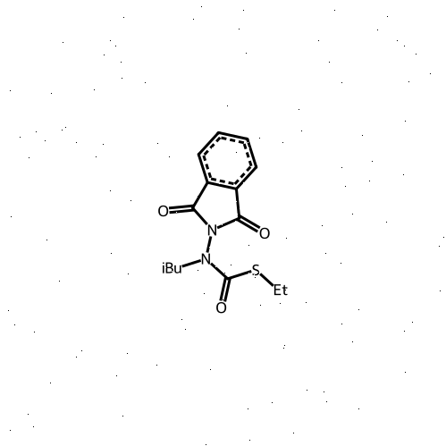 CCSC(=O)N(C(C)CC)N1C(=O)c2ccccc2C1=O